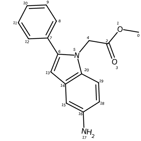 COC(=O)Cn1c(-c2ccccc2)cc2cc(N)ccc21